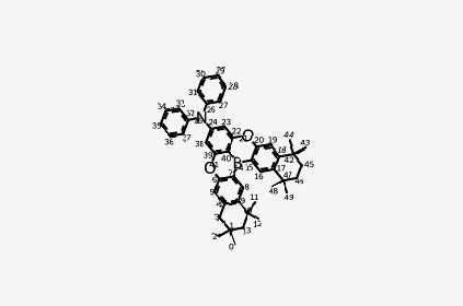 CC1(C)Cc2cc3c(cc2C(C)(C)C1)B1c2cc4c(cc2Oc2cc(N(c5ccccc5)c5ccccc5)cc(c21)O3)C(C)(C)CCC4(C)C